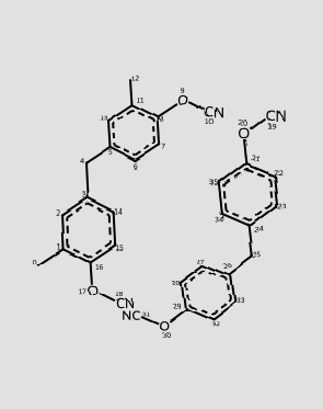 Cc1cc(Cc2ccc(OC#N)c(C)c2)ccc1OC#N.N#COc1ccc(Cc2ccc(OC#N)cc2)cc1